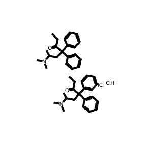 CCC(=O)C(CC(C)N(C)C)(c1ccccc1)c1ccccc1.CCC(=O)C(CC(C)N(C)C)(c1ccccc1)c1ccccc1.Cl.Cl